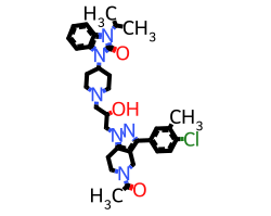 CC(=O)N1CCc2c(c(-c3ccc(Cl)c(C)c3)nn2CC(O)CN2CCC(n3c(=O)n(C(C)C)c4ccccc43)CC2)C1